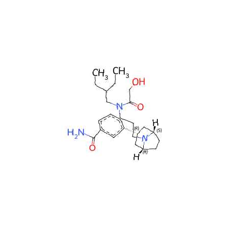 CCC(CC)CN(CCCN1[C@@H]2CC[C@H]1C[C@@H](c1cccc(C(N)=O)c1)C2)C(=O)CO